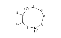 CC1CNCCCCOC1C